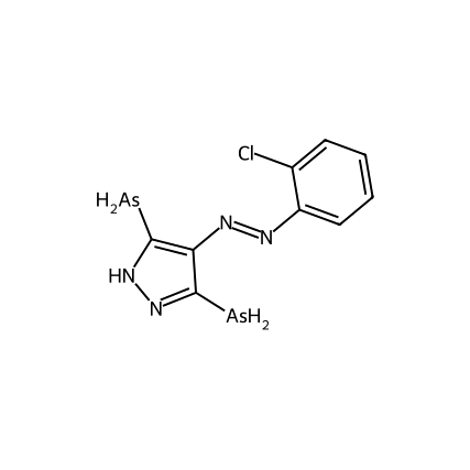 Clc1ccccc1N=Nc1c([AsH2])n[nH]c1[AsH2]